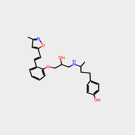 Cc1cc(C=Cc2ccccc2OCC(O)CNC(C)CCc2ccc(O)cc2)on1